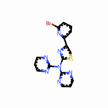 Brc1cccc(-c2csc(N(c3ncccn3)c3ncccn3)n2)n1